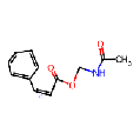 CC(=O)NCOC(=O)/C=C\c1ccccc1